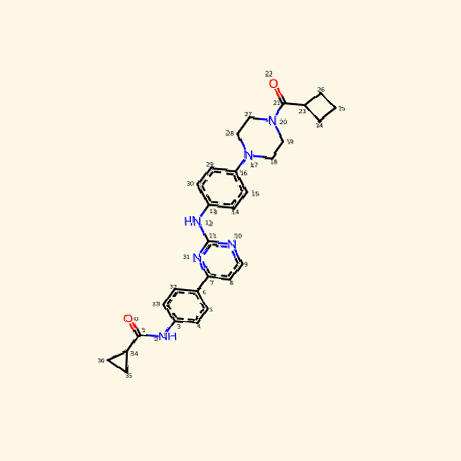 O=C(Nc1ccc(-c2ccnc(Nc3ccc(N4CCN(C(=O)C5CCC5)CC4)cc3)n2)cc1)C1CC1